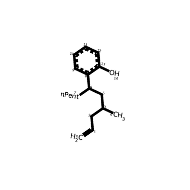 C=CCC(C)CC(CCCCC)c1ccccc1O